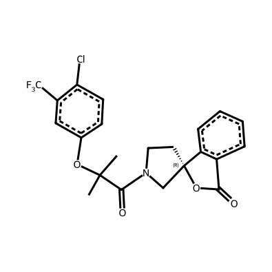 CC(C)(Oc1ccc(Cl)c(C(F)(F)F)c1)C(=O)N1CC[C@@]2(C1)OC(=O)c1ccccc12